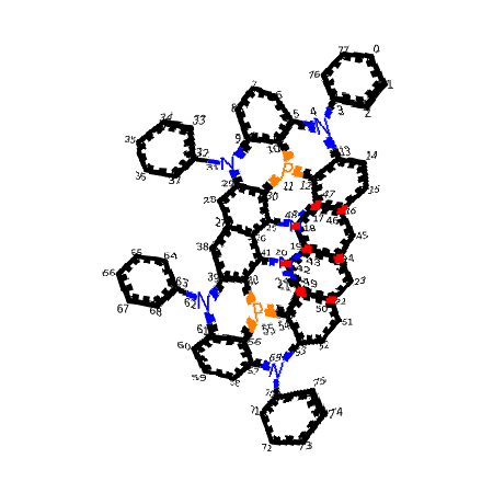 c1ccc(-n2c3cccc4c3p3c5c2cccc5n(-c2ccccc2)c2c5c(cc(c23)n4-c2ccccc2)cc2c3c5n(-c4ccccc4)c4cccc5c4p3c3c(cccc3n2-c2ccccc2)n5-c2ccccc2)cc1